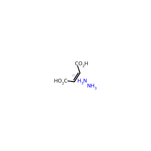 N.N.O=C(O)/C=C\C(=O)O